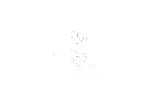 CCOC(=O)[C@H](Cc1c[nH]c2ccccc12)Nc1ncnc2c1ncn2C1OC(CO)C(O)C1O